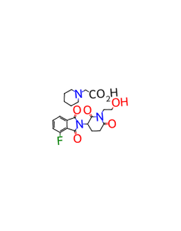 O=C(O)CN1CCCCC1.O=C1CCC(N2C(=O)c3cccc(F)c3C2=O)C(=O)N1CCO